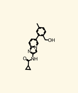 Cc1ccc(CO)c(-c2ccc3nc(NC(=O)C4CC4)cn3c2)c1